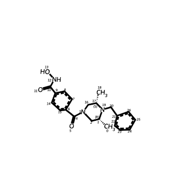 C[C@@H]1CN(C(=O)c2ccc(C(=O)NO)cc2)C[C@H](C)N1Cc1ccccc1